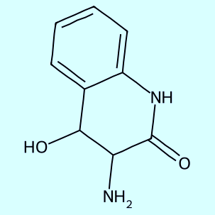 NC1C(=O)Nc2ccccc2C1O